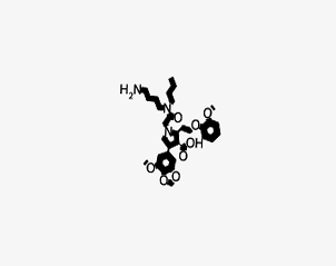 CCCCN(CCCCN)C(=O)CN1C[C@H](c2cc(OC)c3c(c2)OCO3)[C@@H](C(=O)O)[C@@H]1CCOc1ccccc1OC